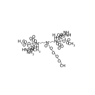 C#CCOCCOCCOCCOCCC(=O)N(CCCCCNC(=O)O[C@@H]([C@@H]1OC(C(=O)OC)=C[C@H](NC(=N)N)[C@H]1NC(C)=O)[C@H]1COC(=O)O1)CCCCNC(=O)O[C@@H]([C@@H]1OC(C(=O)OC)=C[C@H](NC(=N)N)[C@H]1NC(C)=O)[C@H]1COC(=O)O1